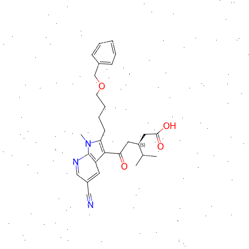 CC(C)[C@H](CC(=O)O)CC(=O)c1c(CCCCOCc2ccccc2)n(C)c2ncc(C#N)cc12